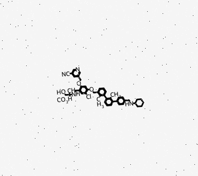 Cc1c(COc2cc(OCc3cncc(C#N)c3)c(CNC(C)(CO)C(=O)O)cc2Cl)cccc1-c1cccc(-c2ccc(CNC3CCCCC3)cc2)c1C